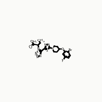 CCC(C(=O)O)n1nnnc1-c1nnc(N2CCC(Oc3cc(F)ccc3Br)CC2)s1